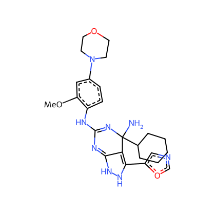 COc1cc(N2CCOCC2)ccc1NC1=NC(N)(C2CCCCC2)C2=C(c3cnco3)NNC2=N1